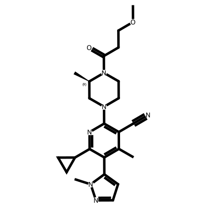 COCCC(=O)N1CCN(c2nc(C3CC3)c(-c3ccnn3C)c(C)c2C#N)C[C@H]1C